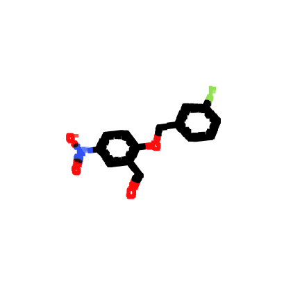 O=Cc1cc([N+](=O)[O-])ccc1OCc1cccc(F)c1